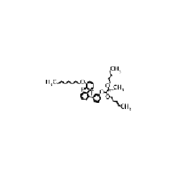 CCCCCCCCOC1=C(F)C(F)(c2ccccc2-c2cccc(OC(OCCCCC)[C@H](CC)OCCCCC)c2)CC=C1